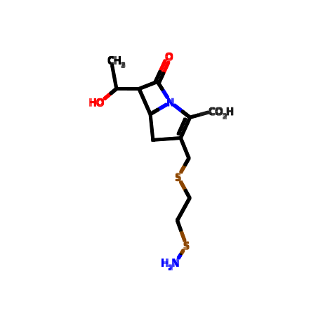 CC(O)C1C(=O)N2C(C(=O)O)=C(CSCCSN)CC12